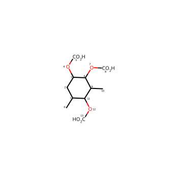 CC1CC(OC(=O)O)C(OC(=O)O)C(C)C1OC(=O)O